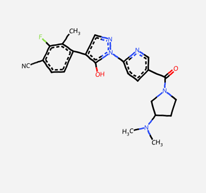 Cc1c(-c2cnn(-c3ccc(C(=O)N4CCC(N(C)C)C4)cn3)c2O)ccc(C#N)c1F